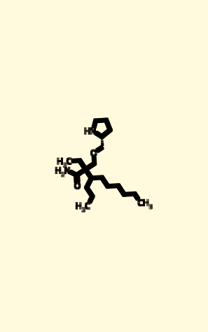 CCCCCCC(CCC)C(CC)(COC[C@H]1CCCN1)C(N)=O